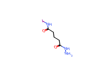 NNC(=O)CCCC(=O)NI